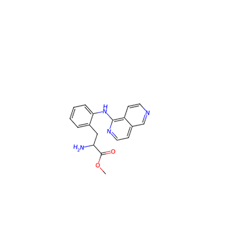 COC(=O)C(N)Cc1ccccc1Nc1nccc2cnccc12